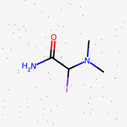 CN(C)C(I)C(N)=O